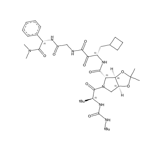 CN(C)C(=O)[C@@H](NC(=O)CNC(=O)C(=O)[C@H](CC1CCC1)NC(=O)[C@@H]1[C@H]2OC(C)(C)O[C@H]2CN1C(=O)[C@@H](NC(=O)NC(C)(C)C)C(C)(C)C)c1ccccc1